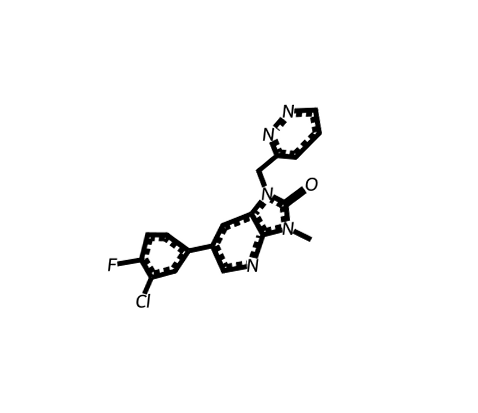 Cn1c(=O)n(Cc2cccnn2)c2cc(-c3ccc(F)c(Cl)c3)cnc21